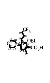 CCOC1C(C(=O)O)=C(C)C=C(N2CCOCC2)N1CCCC(F)(F)F